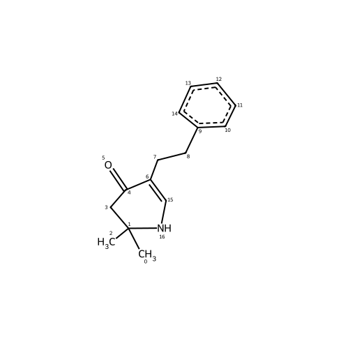 CC1(C)CC(=O)C(CCc2ccccc2)=CN1